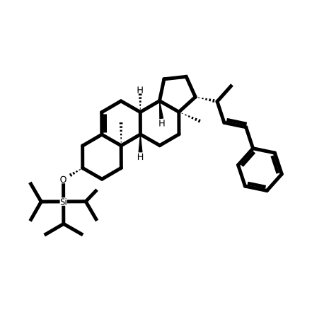 CC(/C=C/c1ccccc1)[C@H]1CC[C@H]2[C@@H]3CC=C4C[C@@H](O[Si](C(C)C)(C(C)C)C(C)C)CC[C@]4(C)[C@H]3CC[C@]12C